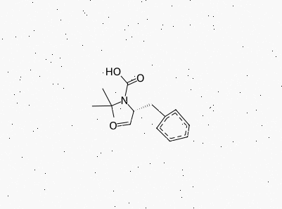 CC(C)(C)N(C(=O)O)[C@@H](C=O)Cc1ccccc1